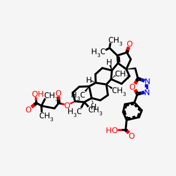 CC(C)C1=C2[C@H]3CC[C@@H]4[C@@]5(C)CC[C@H](OC(=O)CC(C)(C)C(=O)O)C(C)(C)[C@@H]5CC[C@@]4(C)[C@]3(C)CC[C@@]2(Cc2nnc(-c3ccc(C(=O)O)cc3)o2)CC1=O